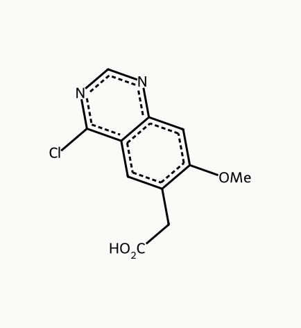 COc1cc2ncnc(Cl)c2cc1CC(=O)O